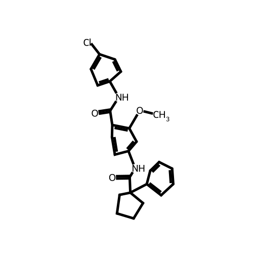 COc1cc(NC(=O)C2(c3ccccc3)CCCC2)ccc1C(=O)Nc1ccc(Cl)cc1